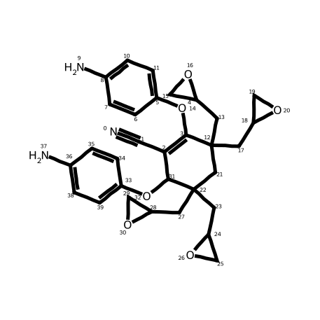 N#CC1=C(Oc2ccc(N)cc2)C(CC2CO2)(CC2CO2)CC(CC2CO2)(CC2CO2)C1Oc1ccc(N)cc1